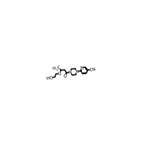 CC(CC(=O)N1CCN(c2ccc(C#N)cn2)CC1)OCCO